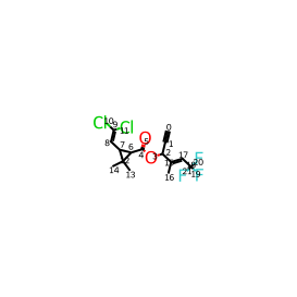 C#CC(OC(=O)C1C(C=C(Cl)Cl)C1(C)C)/C(C)=C/C(F)(F)F